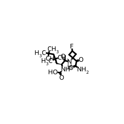 CC(C)(C)CC(C)(C)C[C@H](NC(=O)O)C(=O)NC1(C(=O)C(N)=O)CC(F)C1